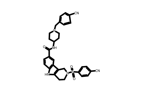 N#Cc1ccc(CN2CCC(NC(=O)c3ccc4[nH]c5c(c4c3)CN(S(=O)(=O)c3ccc(C#N)cc3)CC5)CC2)cc1